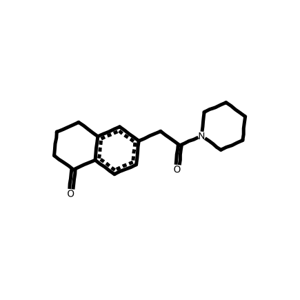 O=C1CCCc2cc(CC(=O)N3CCCCC3)ccc21